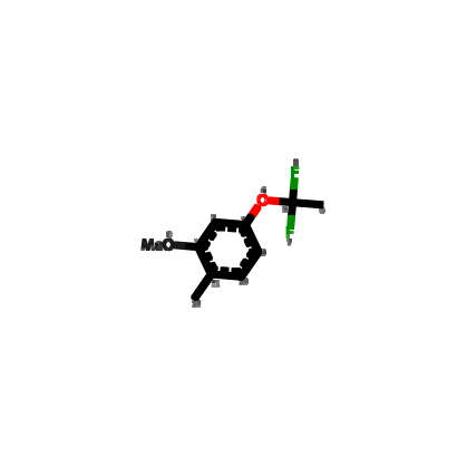 COc1cc(OC(C)(F)F)ccc1C